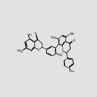 O=C1CC(c2ccc(O)c(-c3c(O)cc(O)c4c3OC(c3ccc(O)cc3)CC4=O)c2)Oc2cc(O)cc(O)c21